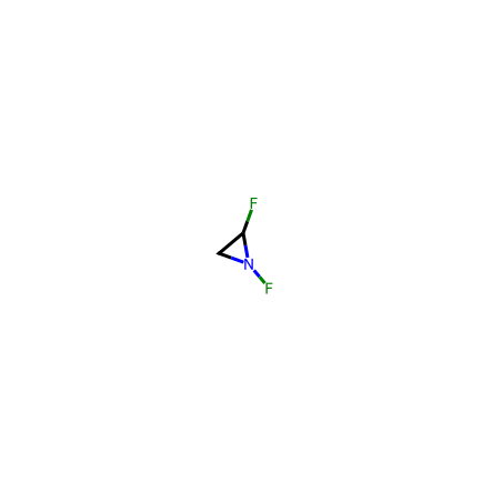 FC1CN1F